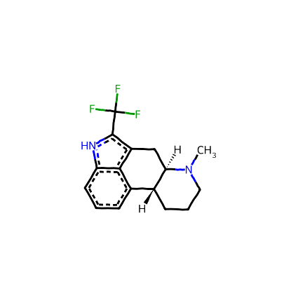 CN1CCC[C@@H]2c3cccc4[nH]c(C(F)(F)F)c(c34)C[C@H]21